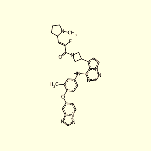 Cc1cc(Nc2ncnn3ccc(C4CN(C(=O)C(F)=CC5CCCN5C)C4)c23)ccc1Oc1ccn2ncnc2c1